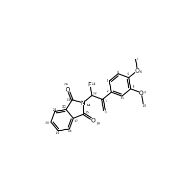 C=C(c1ccc(OC)c(OC)c1)C(F)N1C(=O)c2ccccc2C1=O